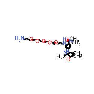 Cc1nn(-c2ccc(C(=O)N(C)C)c(NCCCOCCOCCOCCOCCOCCCN)c2)c2c1C(=O)CC(C)(C)C2